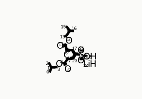 CC(C)COC(=O)c1cc(C(=O)OCC(C)C)cc(S(=O)(=O)O)c1.[LiH]